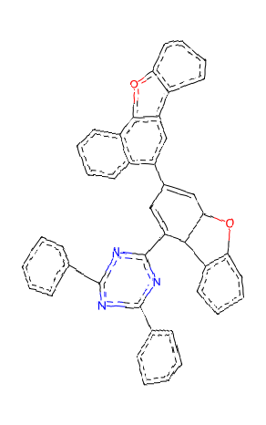 C1=C(c2cc3c4ccccc4oc3c3ccccc23)C=C(c2nc(-c3ccccc3)nc(-c3ccccc3)n2)C2c3ccccc3OC12